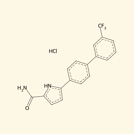 Cl.NC(=O)c1ccc(-c2ccc(-c3cccc(C(F)(F)F)c3)cc2)[nH]1